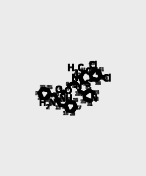 CC(C)c1nc(COC(=O)NC(N)(Cc2ccccc2)Cc2ccccc2)n(Cc2ccncc2)c1Sc1cc(Cl)cc(Cl)c1